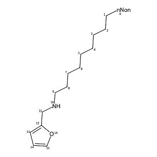 CCCCCCCCCCCCCCCCCCNCc1ccco1